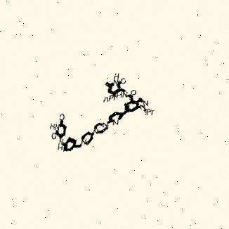 CCCc1cc(C)[nH]c(=O)c1CNC(=O)c1cc(-c2ccc(N3CCN(C4CCN(Cc5ccc(NC6CCC(=O)NC6=O)cc5)CC4)CC3)nc2)cc2c1cnn2C(C)C